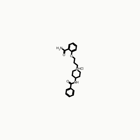 Cl.NC(=O)c1ccccc1OCCCN1CCC(NC(=O)c2ccccc2)CC1